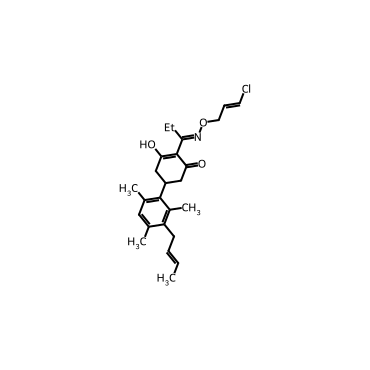 C/C=C/Cc1c(C)cc(C)c(C2CC(=O)C(C(CC)=NOCC=CCl)=C(O)C2)c1C